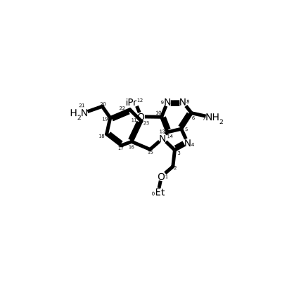 CCOCc1nc2c(N)nnc(OC(C)C)c2n1Cc1ccc(CN)cc1